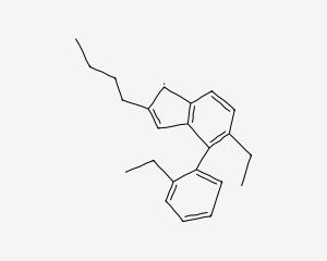 CCCCC1=Cc2c(ccc(CC)c2-c2ccccc2CC)[CH]1